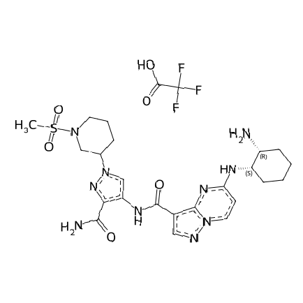 CS(=O)(=O)N1CCCC(n2cc(NC(=O)c3cnn4ccc(N[C@H]5CCCC[C@H]5N)nc34)c(C(N)=O)n2)C1.O=C(O)C(F)(F)F